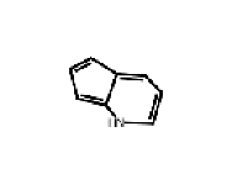 [c]1cc[nH]c2cccc1-2